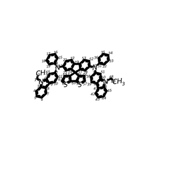 CCn1c2ccccc2c2ccc(N(c3ccccc3)c3ccc4c(c3)C3(c5cc(N(c6ccccc6)c6ccc7c8ccccc8n(CC)c7c6)ccc5-4)c4ccsc4-c4sccc43)cc21